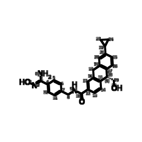 NC(=NO)c1ccc(CNC(=O)c2ccc3c(c2)Cc2cc(C4CC4)ccc2[C@@H]3CO)cc1